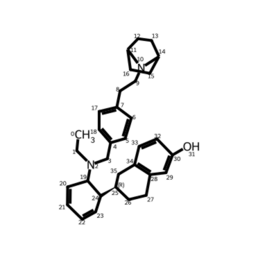 CCN(Cc1ccc(CCN2C3CCC2CC3)cc1)C1C=CC=CC1[C@@H]1CCc2cc(O)ccc2C1